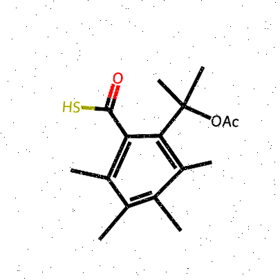 CC(=O)OC(C)(C)c1c(C)c(C)c(C)c(C)c1C(=O)S